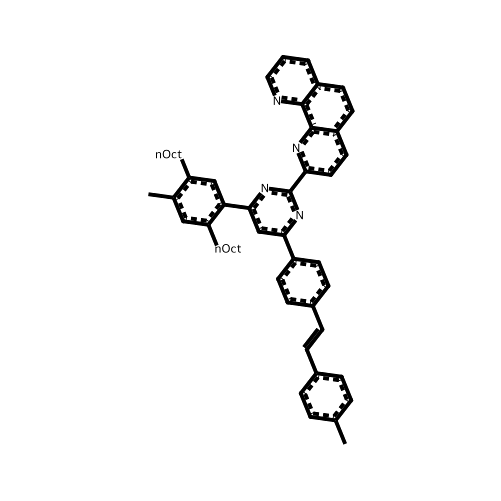 CCCCCCCCc1cc(-c2cc(-c3ccc(/C=C/c4ccc(C)cc4)cc3)nc(-c3ccc4ccc5cccnc5c4n3)n2)c(CCCCCCCC)cc1C